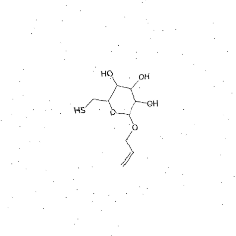 C=CCOC1OC(CS)C(O)C(O)C1O